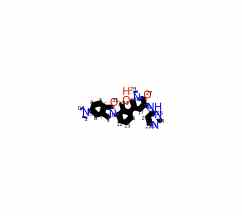 CN(C)c1ccc2c(c1)CN(c1cccc(-c3cc(Nc4ccncn4)c(=O)n(C)c3)c1CO)C2=O